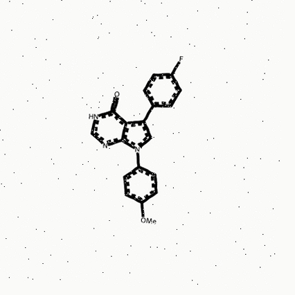 COc1ccc(-n2cc(-c3ccc(F)cc3)c3c(=O)[nH]cnc32)cc1